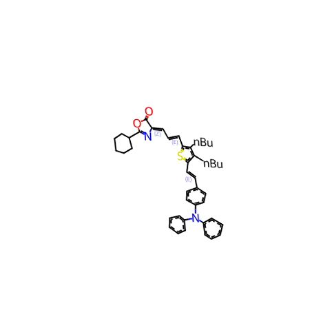 CCCCc1c(/C=C/C=C2\N=C(C3CCCCC3)OC2=O)sc(/C=C/c2ccc(N(c3ccccc3)c3ccccc3)cc2)c1CCCC